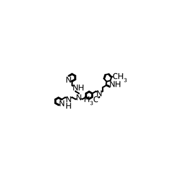 CCN(CCC1=CNC2C(C)=CC=CC12)Cc1ccc(CN(CCNCc2ccccn2)CCNCc2ccccn2)cc1